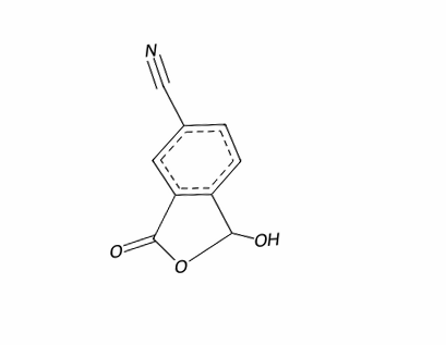 N#Cc1ccc2c(c1)C(=O)OC2O